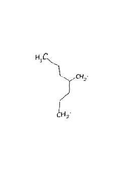 [CH2]CCC([CH2])CCC